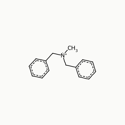 C[N+](Cc1ccccc1)Cc1ccccc1